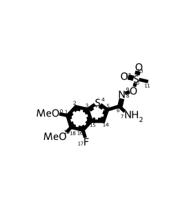 COc1cc2sc(C(N)=NOS(C)(=O)=O)cc2c(F)c1OC